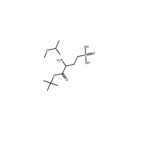 CC(C)(C)OC(=O)C(N)CCP(=O)(O)O.COC(C)C